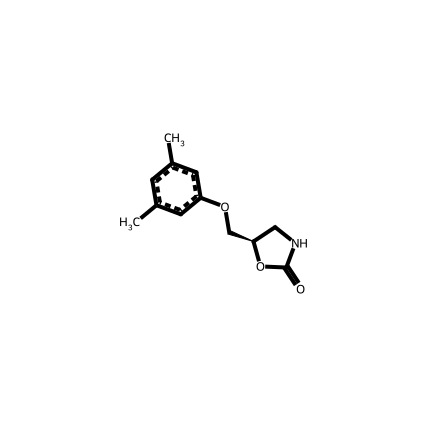 Cc1cc(C)cc(OC[C@H]2CNC(=O)O2)c1